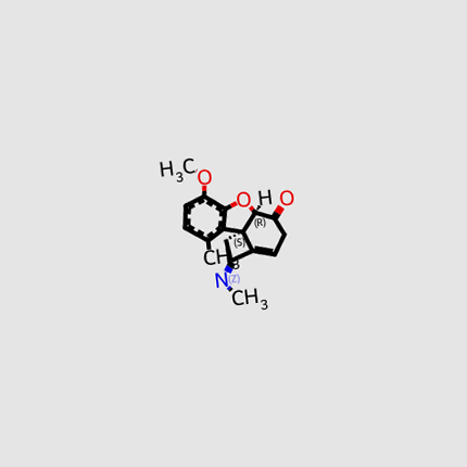 C/N=C1/C[C@@]23C1=CCC(=O)[C@@H]2Oc1c(OC)ccc(C)c13